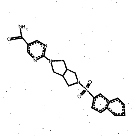 NC(=O)c1cnc(N2CC3CN(S(=O)(=O)c4ccc5ccccc5c4)CC3C2)nc1